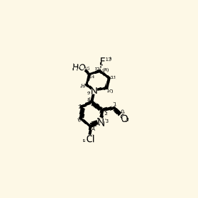 O=Cc1nc(Cl)ccc1N1CC[C@@H](F)C(O)C1